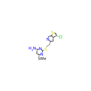 CSc1cc(N)nc(SCCc2cc3c(Cl)csc3cn2)n1